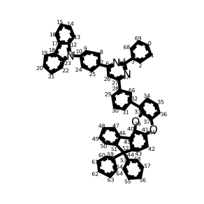 c1ccc(-c2nc(-c3ccc(-n4c5ccccc5c5ccccc54)cc3)cc(-c3cccc(-c4cccc5c4Oc4c(ccc6c4-c4ccccc4C6(c4ccccc4)c4ccccc4)O5)c3)n2)cc1